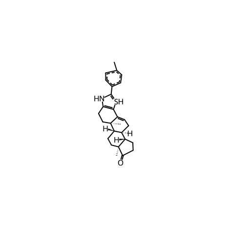 Cc1ccc(C2=[SH]C3=C(CC[C@@]4(C)C3=CC[C@@H]3[C@@H]4CC[C@]4(C)C(=O)CC[C@@H]34)N2)cc1